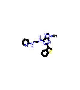 CC(C)n1cnc2c(NCCNc3ccccn3)nc(-c3csc4ccccc34)nc21